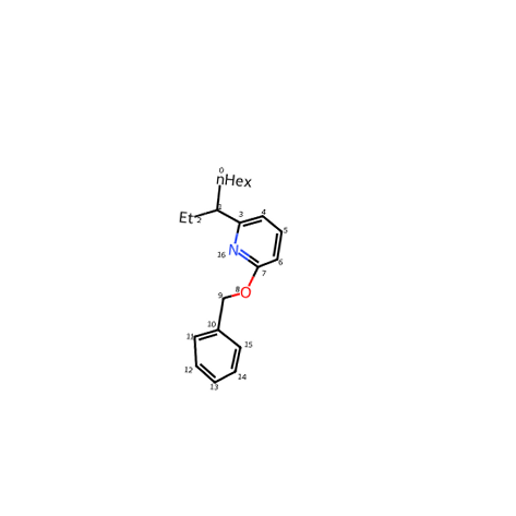 CCCCCCC(CC)c1cccc(OCc2ccccc2)n1